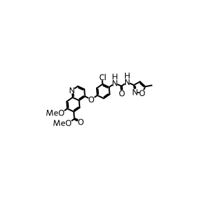 COC(=O)c1cc2c(Oc3ccc(NC(=O)Nc4cc(C)on4)c(Cl)c3)ccnc2cc1OC